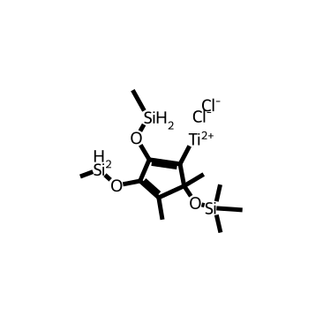 C[SiH2]OC1=C(C)C(C)(O[Si](C)(C)C)[C]([Ti+2])=C1O[SiH2]C.[Cl-].[Cl-]